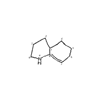 [C]1CCC2CCCC=C2N1